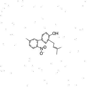 CC(C)=CCc1cc(-c2cc(C)ccc2[N+](=O)[O-])ccc1O